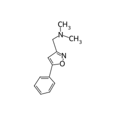 CN(C)Cc1cc(-c2ccccc2)on1